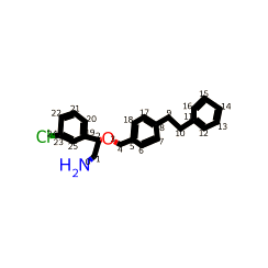 NCC(OCc1ccc(CCc2ccccc2)cc1)c1cccc(Cl)c1